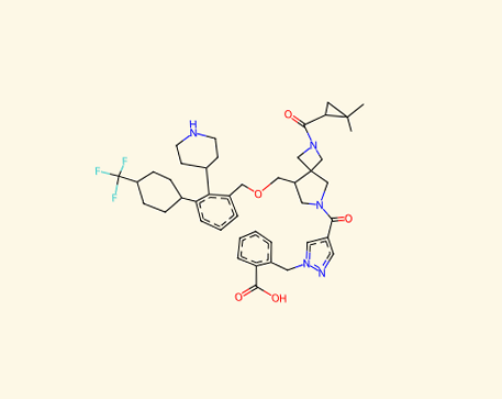 CC1(C)CC1C(=O)N1CC2(CN(C(=O)c3cnn(Cc4ccccc4C(=O)O)c3)CC2COCc2cccc(C3CCC(C(F)(F)F)CC3)c2C2CCNCC2)C1